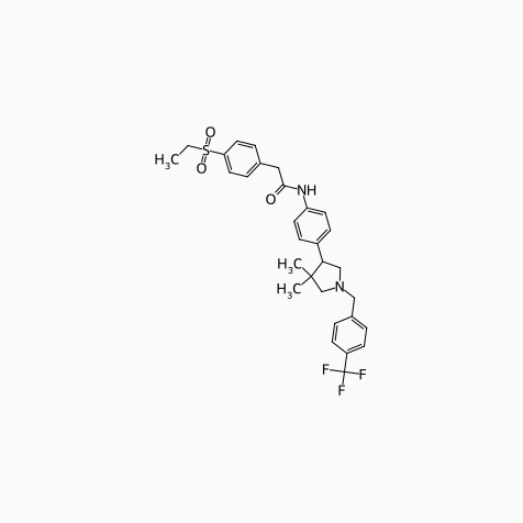 CCS(=O)(=O)c1ccc(CC(=O)Nc2ccc(C3CN(Cc4ccc(C(F)(F)F)cc4)CC3(C)C)cc2)cc1